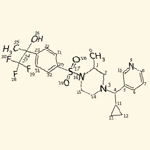 CC1CN(C(c2cccnc2)C2CC2)CCN1S(=O)(=O)c1ccc(C(C)(O)C(F)(F)F)cc1